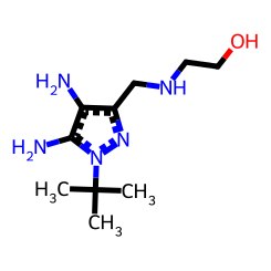 CC(C)(C)n1nc(CNCCO)c(N)c1N